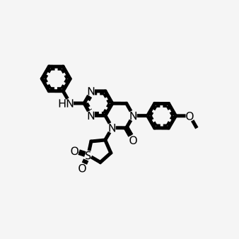 COc1ccc(N2Cc3cnc(Nc4ccccc4)nc3N(C3CCS(=O)(=O)C3)C2=O)cc1